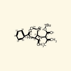 C=C(C)C(C(=O)OC(C)(C)C)N1C(=O)C(NC(=O)c2ccccc2)C1[S+]([O-])Cl